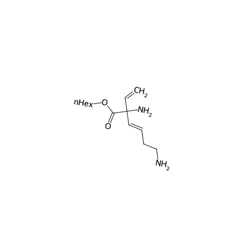 C=CC(N)(C=CCCN)C(=O)OCCCCCC